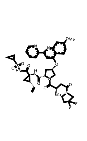 C=C[C@@H]1C[C@]1(NC(=O)[C@@H]1C[C@@H](Oc2cc(-c3ccccn3)nc3cc(OC)ccc23)CN1C(=O)[C@@H](CC(=O)N1CCC(F)(F)C1)C(C)(C)C)C(=O)NS(=O)(=O)C1CC1